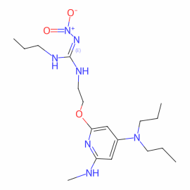 CCCN/C(=N\[N+](=O)[O-])NCCOc1cc(N(CCC)CCC)cc(NC)n1